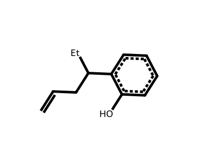 C=CCC(CC)c1ccccc1O